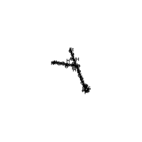 CCOCCOCCC(=O)NCCCC[C@H](NC(=O)CCCNC(=O)CCOCCOCCN=[N+]=[N-])C(=O)NCCOCCOCCOCCOCCC(=O)Oc1c(F)c(F)c(F)c(F)c1F